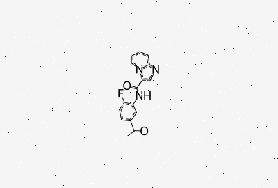 CC(=O)c1ccc(F)c(NC(=O)c2cnc3ccccn23)c1